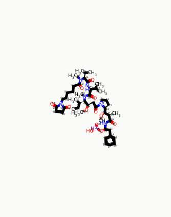 CCC(C)[C@@H]([C@@H](CC(=O)N1CCC[C@H]1[C@H](OC)[C@H](C)C(=O)NC(Cc1ccccc1)O[PH](=O)O)OC)N(C)C(=O)[C@@H](NC(=O)[C@H](C(C)C)N(C)C(=O)CCCCCN1C(=O)C=CC1=O)C(C)C